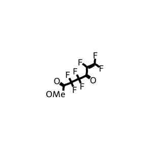 COC(=O)C(F)(F)C(F)(F)C(=O)C(F)=C(F)F